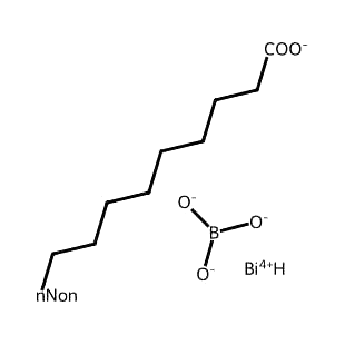 CCCCCCCCCCCCCCCCCC(=O)[O-].[BiH+4].[O-]B([O-])[O-]